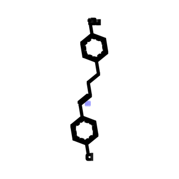 CC(C)(C)c1ccc(CC/C=C/c2ccc(Cl)cc2)cc1